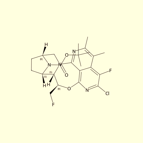 Cc1nc2c3c(nc(Cl)c(F)c3c1C)O[C@@H](CF)[C@@H]1[C@@H]3CC[C@H](CN21)N3C(=O)OC(C)(C)C